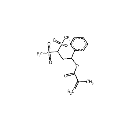 C=C(C)C(=O)OC(CC(S(=O)(=O)C(F)(F)F)S(=O)(=O)C(F)(F)F)c1ccccc1